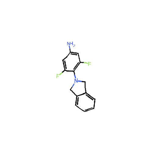 Nc1cc(F)c(N2Cc3ccccc3C2)c(F)c1